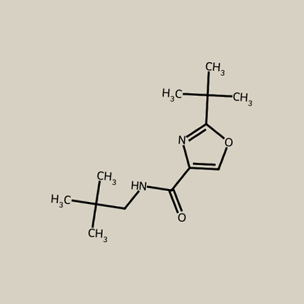 CC(C)(C)CNC(=O)c1coc(C(C)(C)C)n1